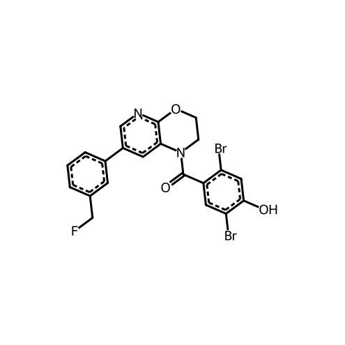 O=C(c1cc(Br)c(O)cc1Br)N1CCOc2ncc(-c3cccc(CF)c3)cc21